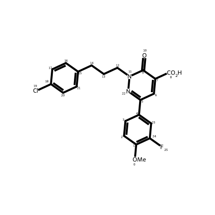 COc1ccc(-c2cc(C(=O)O)c(=O)n(CCCc3ccc(Cl)cc3)n2)cc1F